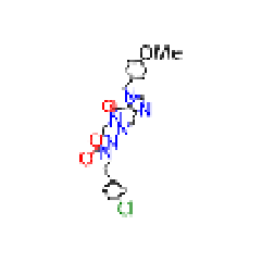 COc1ccc(Cn2cnc3cnn(Cc4nn(CCc5ccc(Cl)cc5)c(=O)o4)c(=O)c32)cc1